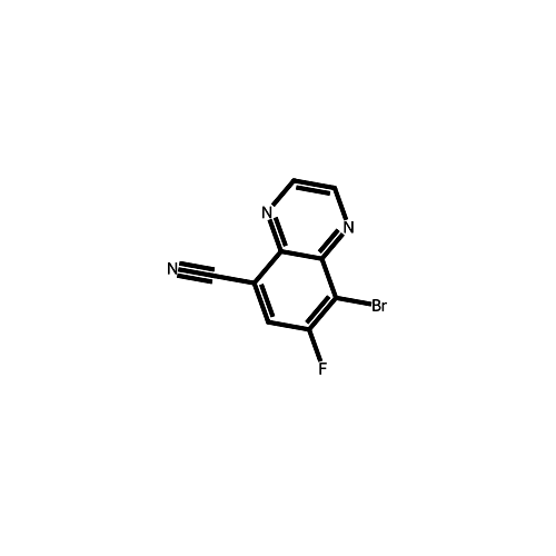 N#Cc1cc(F)c(Br)c2nccnc12